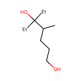 CCC(O)(CC)C(C)CCCO